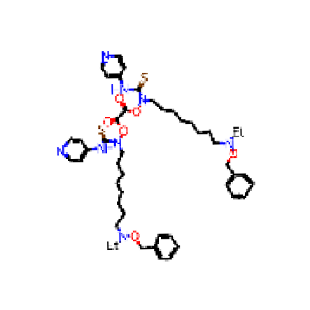 CCN(CCCCCCCCN(OC(=O)C(=O)ON(CCCCCCCCN(CC)OCc1ccccc1)C(=S)Nc1ccncc1)C(=S)Nc1ccncc1)OCc1ccccc1